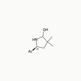 CC(=O)[C@@H]1CC(C)(C)C(O)N1